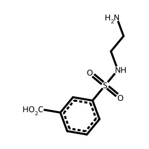 NCCNS(=O)(=O)c1cccc(C(=O)O)c1